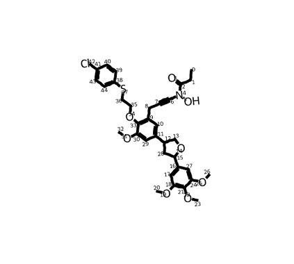 CCC(=O)N(O)C#CCc1cc(C2COC(c3cc(OC)c(OC)c(OC)c3)C2)cc(OC)c1OCCSc1ccc(Cl)cc1